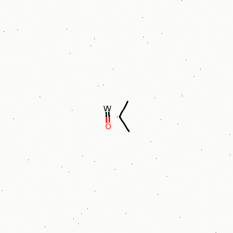 C[CH]C.[O]=[W]